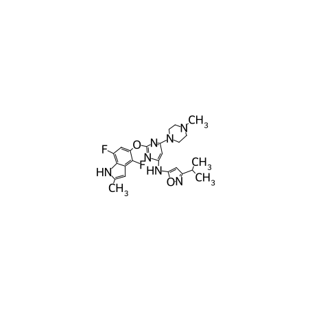 Cc1cc2c(F)c(Oc3nc(Nc4cc(C(C)C)no4)cc(N4CCN(C)CC4)n3)cc(F)c2[nH]1